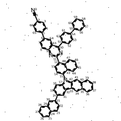 N#Cc1ccc(-c2ccc3nc(-c4ccc(-n5c6ccc(-c7ccc8ccccc8c7)cc6c6cc7ccccc7cc65)c5ccccc45)nc(-c4ccc(-c5ccccc5)cc4)c3c2)cc1